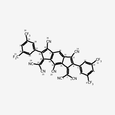 N#CC(C#N)=C1C(c2cc(C(F)(F)F)cc(C(F)(F)F)c2)=C(C#N)c2cc3c(c(C#N)c21)C(=C(C#N)C#N)C(c1cc(C(F)(F)F)cc(C(F)(F)F)c1)=C3C#N